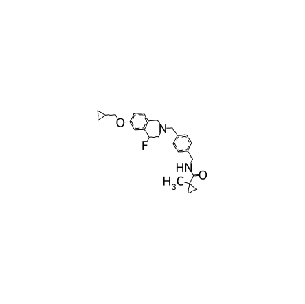 CC1(C(=O)NCc2ccc(CN3Cc4ccc(OCC5CC5)cc4C(F)C3)cc2)CC1